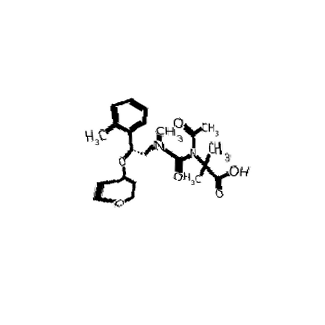 CC(=O)N(C(=O)N(C)C[C@H](OC1CCOCC1)c1ccccc1C)C(C)(C)C(=O)O